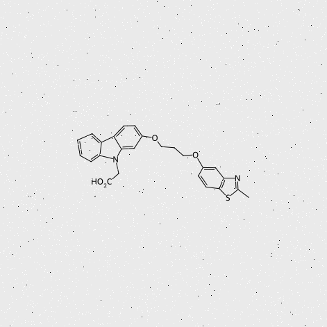 Cc1nc2cc(OCCCOc3ccc4c5ccccc5n(CC(=O)O)c4c3)ccc2s1